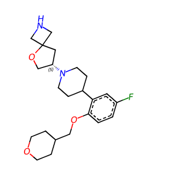 Fc1ccc(OCC2CCOCC2)c(C2CCN([C@@H]3COC4(CNC4)C3)CC2)c1